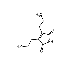 CCCC1=C(CCC)C(=O)NC1=O